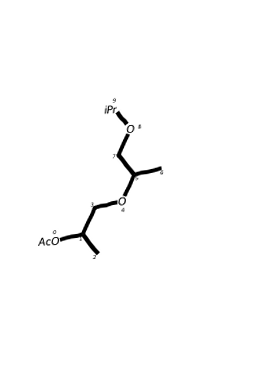 CC(=O)OC(C)COC(C)COC(C)C